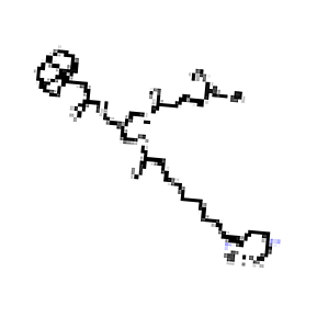 CCCCC/C=C\C/C=C\CCCCCCCC(=O)OCC(COC(=O)CCCN(CCC)CCC)COC(=O)CC12CC3CC(CC(C3)C1)C2